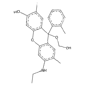 CCNc1cc2c(cc1C)C(OCO)(c1ccccc1C)c1cc(C)c(O)cc1O2